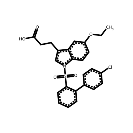 CCOc1ccc2c(c1)c(CCC(=O)O)cn2S(=O)(=O)c1ccccc1-c1ccc(Cl)cc1